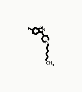 CCCCCCCN1CCC(c2noc3cc(F)ccc23)CC1